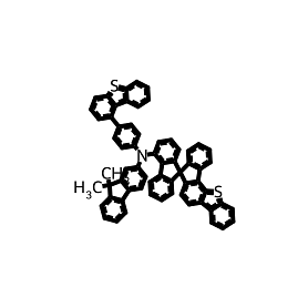 CC1(C)c2ccccc2-c2ccc(N(c3ccc(-c4cccc5sc6ccccc6c45)cc3)c3cccc4c3-c3ccccc3C43c4ccccc4-c4c3ccc3c4sc4ccccc43)cc21